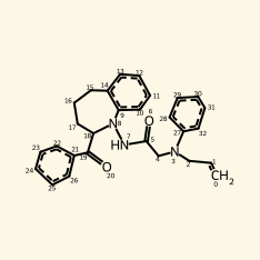 C=CCN(CC(=O)NN1c2ccccc2CCCC1C(=O)c1ccccc1)c1ccccc1